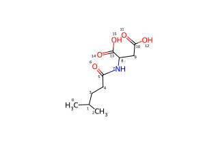 CC(C)CCC(=O)NC(CC(=O)O)C(=O)O